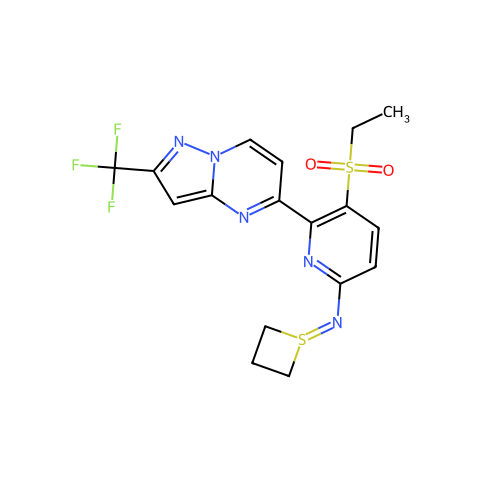 CCS(=O)(=O)c1ccc(N=S2CCC2)nc1-c1ccn2nc(C(F)(F)F)cc2n1